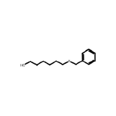 OCCCCCC[N]Cc1ccccc1